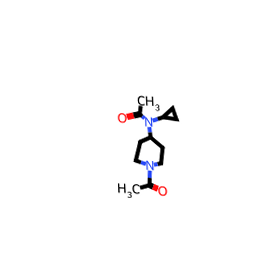 CC(=O)N1CCC(N(C(C)=O)C2CC2)CC1